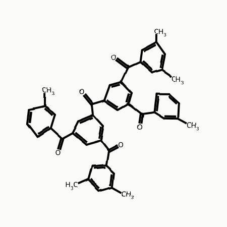 Cc1cccc(C(=O)c2cc(C(=O)c3cc(C)cc(C)c3)cc(C(=O)c3cc(C(=O)c4cccc(C)c4)cc(C(=O)c4cc(C)cc(C)c4)c3)c2)c1